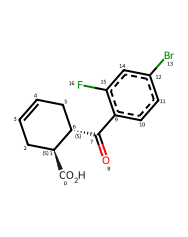 O=C(O)[C@H]1CC=CC[C@@H]1C(=O)c1ccc(Br)cc1F